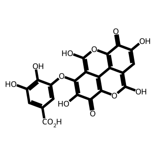 O=C(O)c1cc(O)c(O)c(Oc2c(O)c(=O)c3oc(O)c4cc(O)c(=O)c5oc(O)c2c3c45)c1